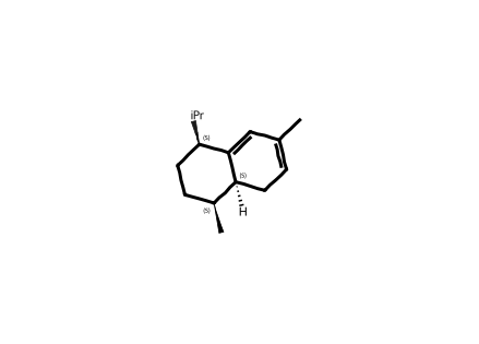 CC1=CC[C@@H]2C(=C1)[C@H](C(C)C)CC[C@@H]2C